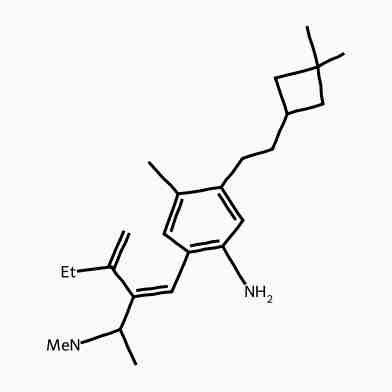 C=C(CC)/C(=C\c1cc(C)c(CCC2CC(C)(C)C2)cc1N)C(C)NC